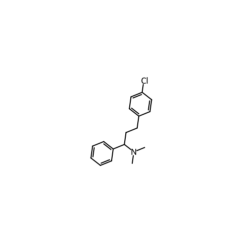 CN(C)C(CCc1ccc(Cl)cc1)c1ccccc1